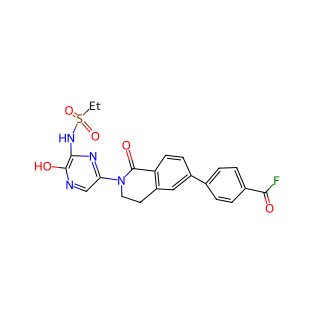 CCS(=O)(=O)Nc1nc(N2CCc3cc(-c4ccc(C(=O)F)cc4)ccc3C2=O)cnc1O